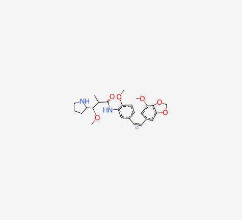 COc1ccc(/C=C\c2cc(OC)c3c(c2)OCO3)cc1NC(=O)C(C)C(OC)C1CCCN1